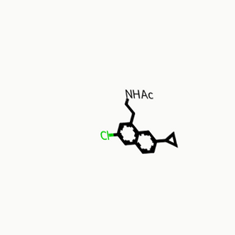 CC(=O)NCCc1cc(Cl)cc2ccc(C3CC3)cc12